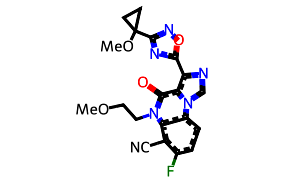 COCCn1c(=O)c2c(-c3nc(C4(OC)CC4)no3)ncn2c2ccc(F)c(C#N)c21